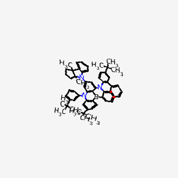 CC(C)(C)c1cccc(N2c3cc(C(C)(C)C)ccc3B3c4ccccc4N(c4ccc(C(C)(C)C)cc4-c4ccccc4)c4cc(N5c6ccccc6C6(C)CCCC56C)cc2c43)c1